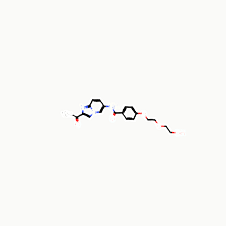 CC(C)(C)C(=O)c1cn2cc(NC(=O)c3ccc(OCCOCCO)cc3)ccc2n1